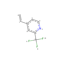 C=Cc1ccnc(C(F)(F)F)c1